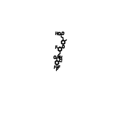 Cc1cc(Oc2cc(F)cc(CCNC(=O)c3ccc(C(F)(F)F)cc3Cl)c2)ccc1CCC(=O)O